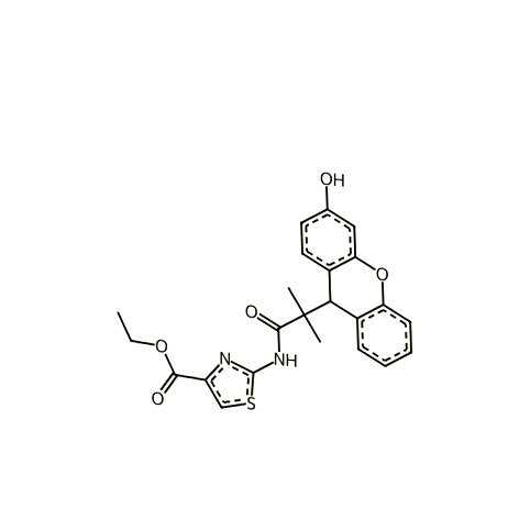 CCOC(=O)c1csc(NC(=O)C(C)(C)C2c3ccccc3Oc3cc(O)ccc32)n1